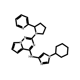 c1ccc(C2CCCN2c2nc(Nc3cn(C4CCCCC4)cn3)c3cccn3n2)nc1